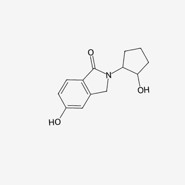 O=C1c2ccc(O)cc2CN1C1CCCC1O